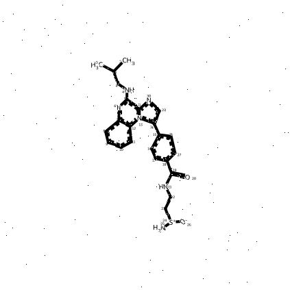 CC(C)CNc1nc2ccccc2n2c(-c3ccc(C(=O)NCC[S+](N)[O-])cc3)cnc12